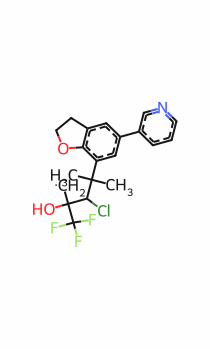 [CH2]C(O)(C(Cl)C(C)(C)c1cc(-c2cccnc2)cc2c1OCC2)C(F)(F)F